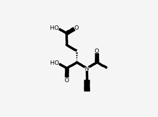 C#CN(C(C)=O)[C@@H](CCC(=O)O)C(=O)O